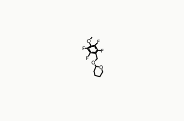 COc1c(F)c(F)c(COC2CCCCO2)c(F)c1F